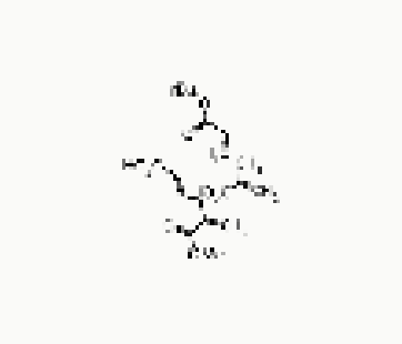 C=C(C)C(=O)O.C=C(CC=CC(=O)O)C(=O)OC.C=CC(=O)OCCCC